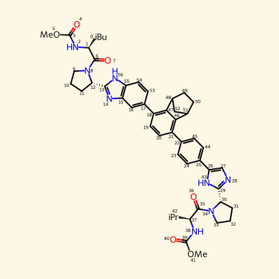 CCC(C)[C@H](NC(=O)OC)C(=O)N1CCC[C@H]1c1nc2cc(-c3ccc(-c4ccc(-c5cnc([C@@H]6CCCN6C(=O)[C@@H](NC(=O)OC)C(C)C)[nH]5)cc4)c4c3C3CCC4C3)ccc2[nH]1